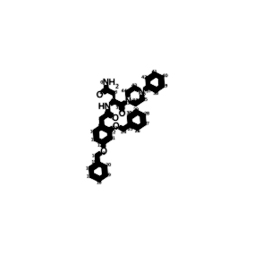 NC(=O)C[C@H](NC(=O)Cc1ccc(OCc2ccccc2)cc1OCc1ccccc1)C(=O)N1CCN(c2ccccc2)CC1